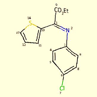 CCOC(=O)/C(=N/c1ccc(Cl)cc1)c1cccs1